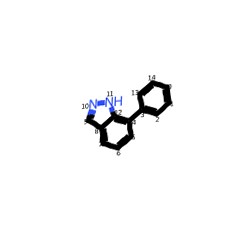 c1ccc(-c2cccc3cn[nH]c23)cc1